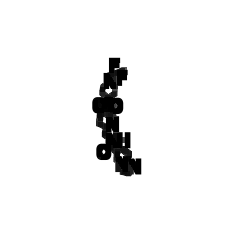 CC(F)(F)CN1CCC(S(=O)(=O)c2ccc(CNC(=O)c3ccc4nccn4c3)nc2)CC1